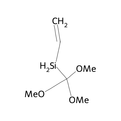 C=C[SiH2]C(OC)(OC)OC